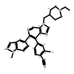 CCN1CCC(Cn2cnc3c(-c4ccc(C#N)c(F)c4)c(-c4ccc5c(cnn5C)c4)ncc32)CC1